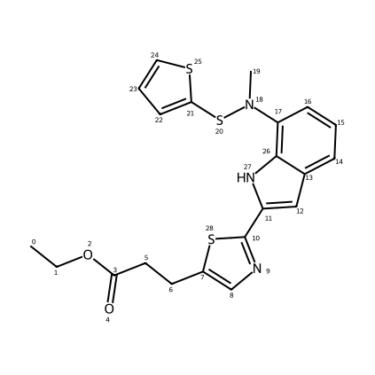 CCOC(=O)CCc1cnc(-c2cc3cccc(N(C)Sc4cccs4)c3[nH]2)s1